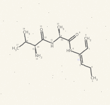 C=C/C(=C\CC)NC(=O)[C@H](C)NC(=O)[C@@H](N)C(C)C